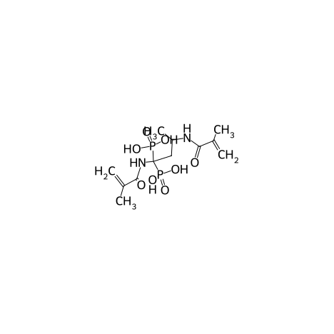 C=C(C)C(=O)NC(C)CC(NC(=O)C(=C)C)(P(=O)(O)O)P(=O)(O)O